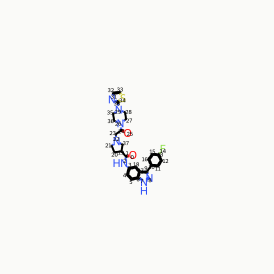 O=C(Nc1ccc2[nH]nc(-c3ccc(F)cc3)c2c1)C1CCN(CC(=O)N2CCN(c3nccs3)CC2)C1